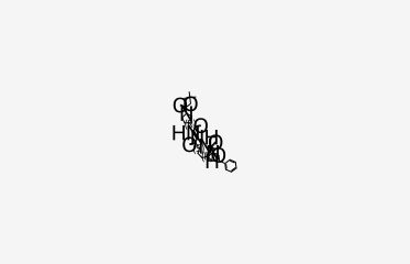 CC(C)(C)OC(=O)N1CC[C@@H](C(=O)NNC(=O)[C@@H]2CC[C@@H]3CN2C(=O)N3OCc2ccccc2)C1